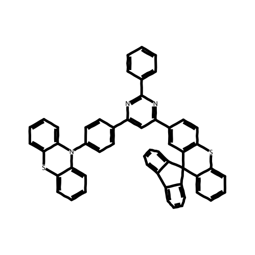 c1ccc(-c2nc(-c3ccc(N4c5ccccc5Sc5ccccc54)cc3)cc(-c3ccc4c(c3)C3(c5ccccc5S4)c4ccccc4-c4ccccc43)n2)cc1